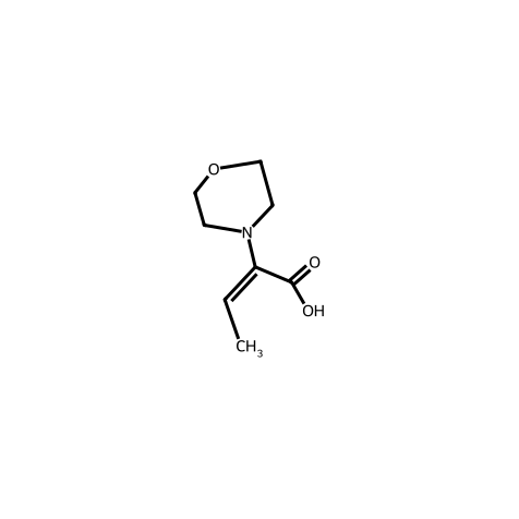 CC=C(C(=O)O)N1CCOCC1